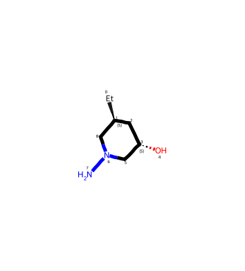 CC[C@H]1C[C@H](O)CN(N)C1